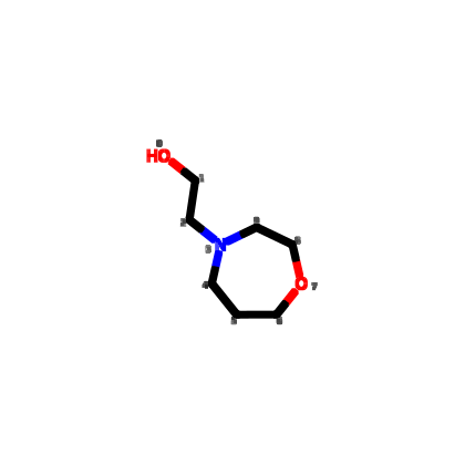 OCCN1CCCOCC1